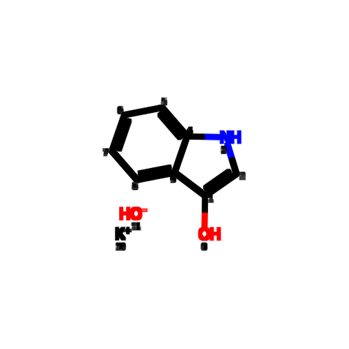 Oc1c[nH]c2ccccc12.[K+].[OH-]